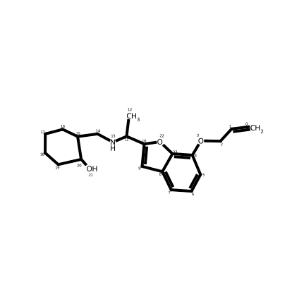 C=CCOc1cccc2cc(C(C)NCC3CCCCC3O)oc12